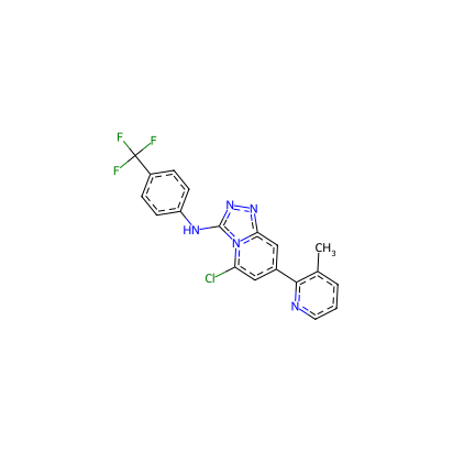 Cc1cccnc1-c1cc(Cl)n2c(Nc3ccc(C(F)(F)F)cc3)nnc2c1